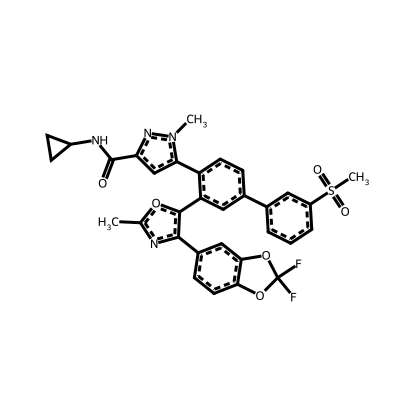 Cc1nc(-c2ccc3c(c2)OC(F)(F)O3)c(-c2cc(-c3cccc(S(C)(=O)=O)c3)ccc2-c2cc(C(=O)NC3CC3)nn2C)o1